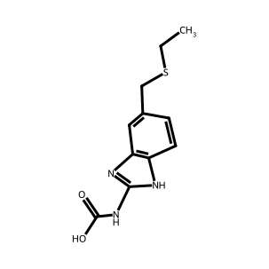 CCSCc1ccc2[nH]c(NC(=O)O)nc2c1